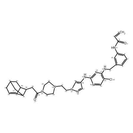 C=CC(=O)Nc1cccc(CNc2nc(Nc3cnn(CCN4CCN(C(=O)CC5C6CC7CC=C6C5C7)CC4)c3)ncc2Cl)c1